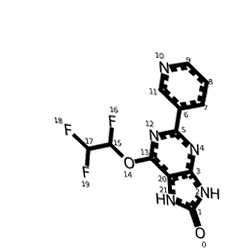 O=c1[nH]c2nc(-c3cccnc3)nc(OC(F)C(F)F)c2[nH]1